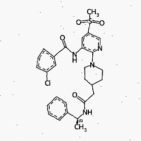 C[C@H](NC(=O)CC1CCN(c2ncc(S(C)(=O)=O)cc2NC(=O)c2cccc(Cl)c2)CC1)c1ccccc1